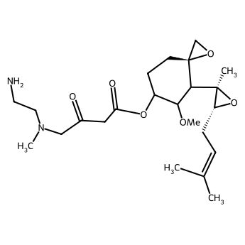 COC1C(OC(=O)CC(=O)CN(C)CCN)CC[C@]2(CO2)C1[C@@]1(C)O[C@@H]1CC=C(C)C